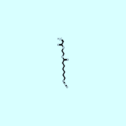 C=CC(=O)OCCOC(=O)CCCCCCN=C=O